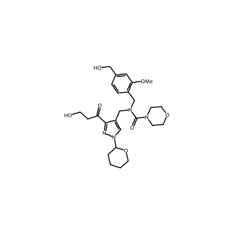 COc1cc(CO)ccc1CN(Cc1cn(C2CCCCO2)nc1C(=O)CCO)C(=O)N1CCOCC1